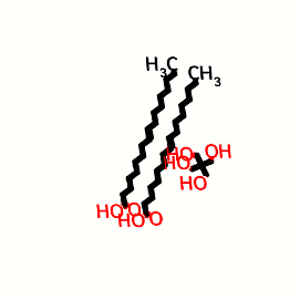 CCCCCCCCC=CCCCCCCCC(=O)O.CCCCCCCCC=CCCCCCCCC(=O)O.OCC(CO)(CO)CO